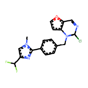 Cn1cc(C(F)F)nc1-c1ccc(CN2c3ccoc3C=NC2Cl)cc1